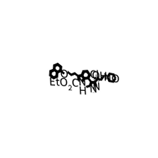 CCOC(=O)c1[nH]c2c(-c3c([C@H](O)CCN4CCOCC4)nn(C)c3C)c(Cl)ccc2c1CCCOc1cccc2ccccc12